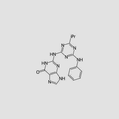 CC(C)c1nc(Nc2ccccc2)nc(Nc2nc3[nH]cnc3c(=O)[nH]2)n1